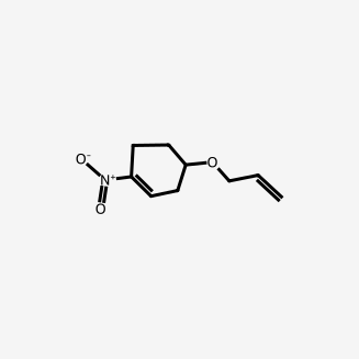 C=CCOC1CC=C([N+](=O)[O-])CC1